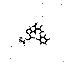 CC(C)N(C(=O)Oc1c(F)c(F)c(F)c(F)c1F)C(C(=O)[C@@H]1CCCN1C(=O)[C@H](C)NC(=O)[C@H](C)N)C(=O)C(F)(F)F